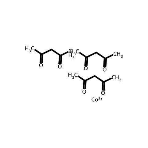 CC(=O)CC(C)=O.CC(=O)CC(C)=O.CC(=O)CC(C)=O.[Co+3]